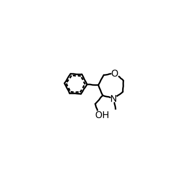 CN1CCOCC(c2ccccc2)C1CO